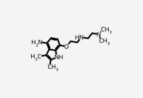 Cc1[nH]c2c(OCCNCCN(C)C)ccc(N)c2c1C